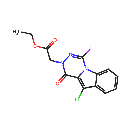 CCOC(=O)Cn1nc(I)n2c(c(Cl)c3ccccc32)c1=O